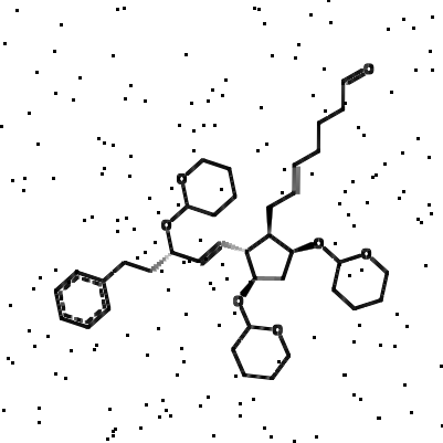 O=CCCCC=CC[C@@H]1[C@@H](C=C[C@H](CCc2ccccc2)OC2CCCCO2)[C@H](OC2CCCCO2)C[C@@H]1OC1CCCCO1